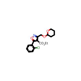 CCOC(=O)c1c(COC2CCCCO2)noc1-c1ccccc1Cl